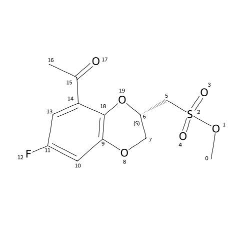 COS(=O)(=O)C[C@@H]1COc2cc(F)cc(C(C)=O)c2O1